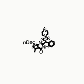 CCCCCCCCCCn1nc(C)c2c(=O)[nH]c(C(c3ccccc3)S(=O)(=O)N3CCN(C)CC3)nc21